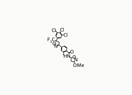 COC1=NOC(NC(=O)c2ccc(C3=NOC(c4cc(Cl)c(Cl)c(Cl)c4)(C(F)(F)F)C3)cc2C)C1